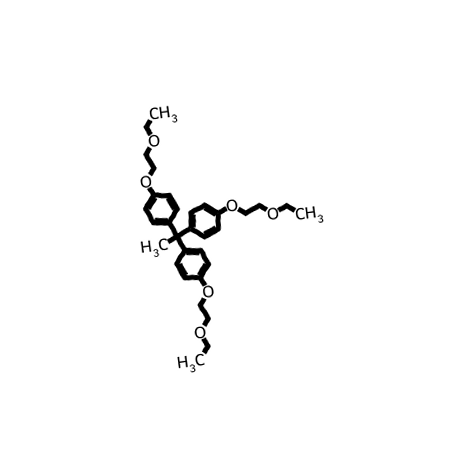 CCOCCOc1ccc(C(C)(c2ccc(OCCOCC)cc2)c2ccc(OCCOCC)cc2)cc1